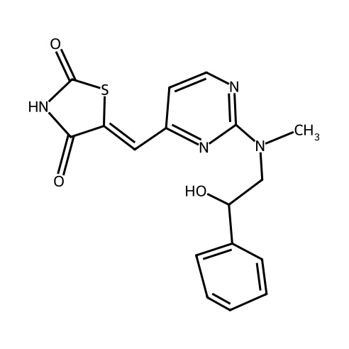 CN(CC(O)c1ccccc1)c1nccc(/C=C2\SC(=O)NC2=O)n1